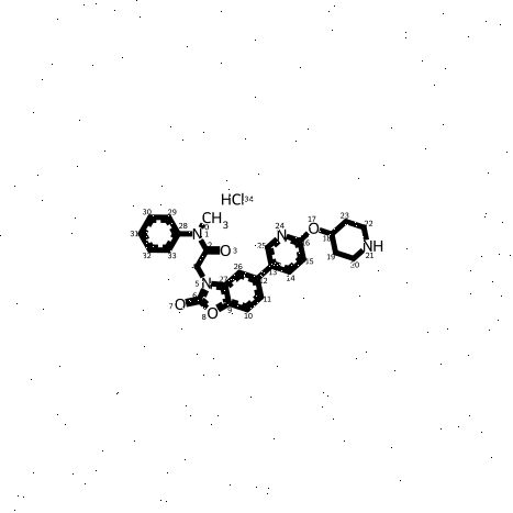 CN(C(=O)Cn1c(=O)oc2ccc(-c3ccc(OC4CCNCC4)nc3)cc21)c1ccccc1.Cl